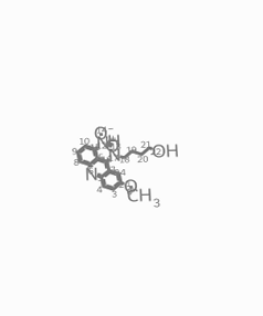 COc1ccc2nc3cccc([N+](=O)[O-])c3c(NCCCCO)c2c1